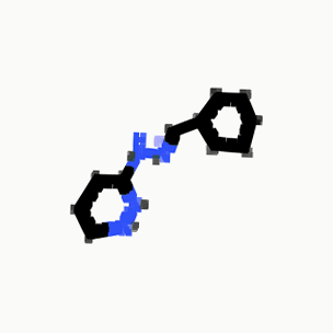 C(=N\Nc1cccnn1)/c1ccccc1